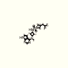 CN(c1ncnc2[nH]ccc12)[C@H]1C[C@@H](NS(=O)(=O)N2CC(CC(F)F)C2)C1